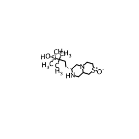 CC(C)(CC[C@@H]1CN2CC[S+]([O-])CC2CN1)[Si](C)(C)O